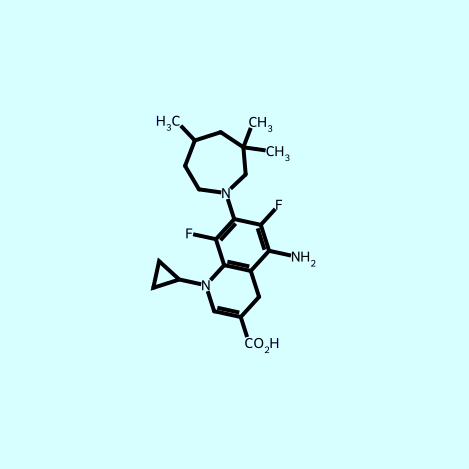 CC1CCN(c2c(F)c(N)c3c(c2F)N(C2CC2)C=C(C(=O)O)C3)CC(C)(C)C1